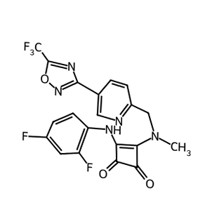 CN(Cc1ccc(-c2noc(C(F)(F)F)n2)cn1)c1c(Nc2ccc(F)cc2F)c(=O)c1=O